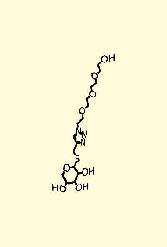 OCCOCCOCCOCCn1cc(CSC2OCC(O)C(O)C2O)nn1